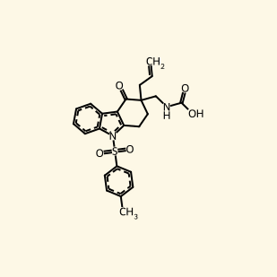 C=CCC1(CNC(=O)O)CCc2c(c3ccccc3n2S(=O)(=O)c2ccc(C)cc2)C1=O